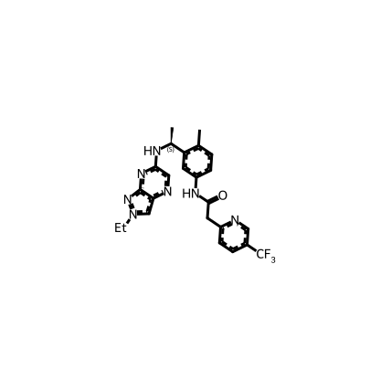 CCn1cc2ncc(N[C@@H](C)c3cc(NC(=O)Cc4ccc(C(F)(F)F)cn4)ccc3C)nc2n1